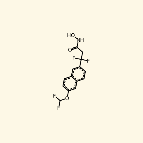 O=C(CC(F)(F)c1ccc2cc(OC(F)F)ccc2c1)NO